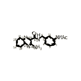 CC(=O)Nc1cccc(CNC(=O)c2nc3ccccc3nc2N)c1